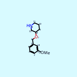 COc1cccc(COC2CCCNC2)c1